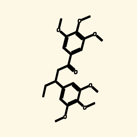 CCC(CC(=O)c1cc(OC)c(OC)c(OC)c1)c1cc(OC)c(OC)c(OC)c1